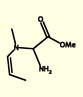 C/C=C\N(C)C(N)C(=O)OC